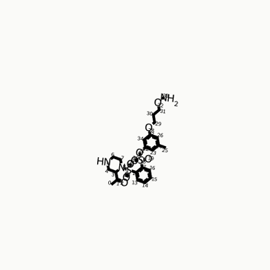 CC(=O)C1CNCCN1S(=O)(=O)c1ccccc1S(=O)(=O)Oc1cc(C)cc(OCCCON)c1